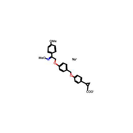 CON=C(COc1ccc(COc2ccc(C3CC3C(=O)[O-])cc2)cc1)c1ccc(OC)cc1.[Na+]